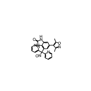 Cc1noc(C)c1-c1cc(C(N=O)(c2ccccn2)c2ccccn2)c2[nH]c(=O)[nH]c2c1